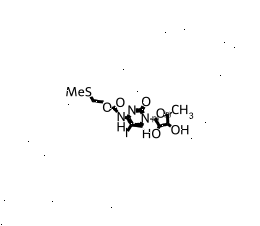 CSCCOC(=O)Nc1nc(=O)n([C@@H]2O[C@H](C)C(O)C2O)cc1I